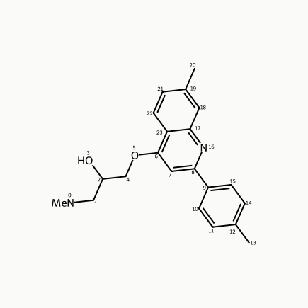 CNCC(O)COc1cc(-c2ccc(C)cc2)nc2cc(C)ccc12